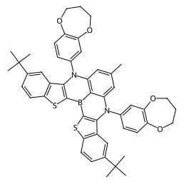 Cc1cc2c3c(c1)N(c1ccc4c(c1)OCCCO4)c1c(sc4ccc(C(C)(C)C)cc14)B3c1sc3ccc(C(C)(C)C)cc3c1N2c1ccc2c(c1)OCCCO2